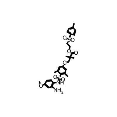 COc1ccc(NS(=O)(=O)c2c(C)cc(OCC(C)(C)C(=O)OCCS(=O)(=O)c3ccc(C)cc3)cc2C)c(N)c1